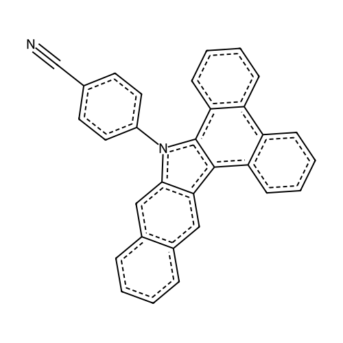 N#Cc1ccc(-n2c3cc4ccccc4cc3c3c4ccccc4c4ccccc4c32)cc1